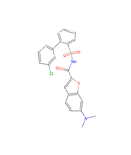 CN(C)c1ccc2cc(C(=O)NS(=O)(=O)c3ccccc3-c3cccc(Cl)c3)oc2c1